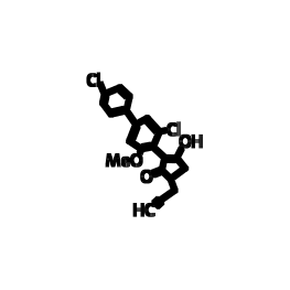 C#CCC1CC(O)=C(c2c(Cl)cc(-c3ccc(Cl)cc3)cc2OC)C1=O